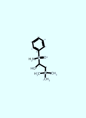 C[N+](C)(C)CC(O)P(N)(=O)c1ccccc1